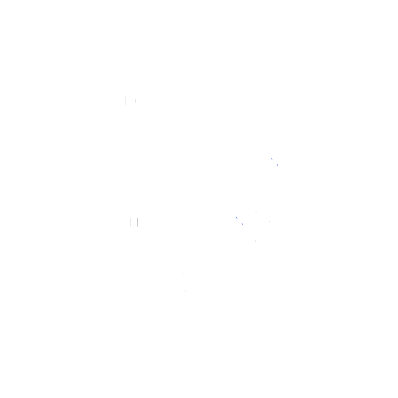 COc1ccc(S(C)(=O)=NC(=O)c2cncc(C#Cc3ccc(C)cc3)c2)cc1OC